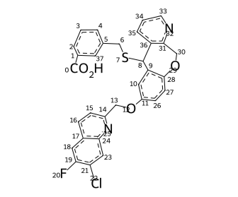 O=C(O)c1cccc(CSC2c3cc(OCc4ccc5cc(F)c(Cl)cc5n4)ccc3OCc3ncccc32)c1